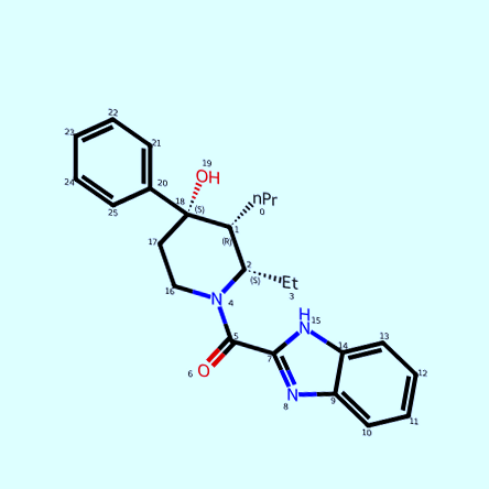 CCC[C@@H]1[C@H](CC)N(C(=O)c2nc3ccccc3[nH]2)CC[C@@]1(O)c1ccccc1